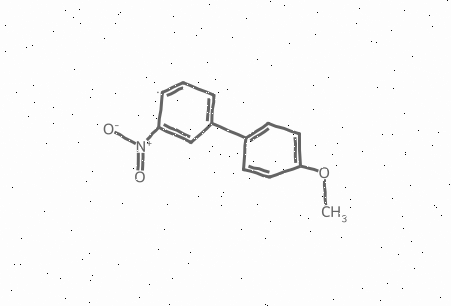 COc1ccc(-c2cc[c]c([N+](=O)[O-])c2)cc1